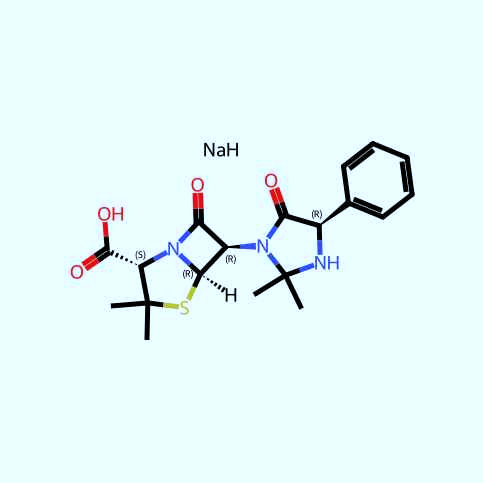 CC1(C)S[C@@H]2[C@H](N3C(=O)[C@@H](c4ccccc4)NC3(C)C)C(=O)N2[C@H]1C(=O)O.[NaH]